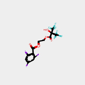 O=C(OCCOC(=O)C(O)(C(F)(F)F)C(F)(F)F)c1c(I)cc(I)cc1I